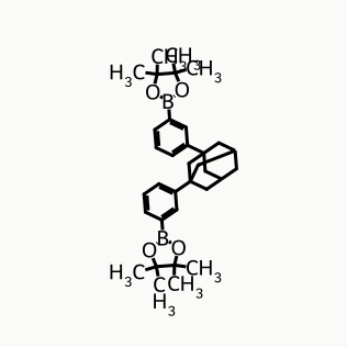 CC1(C)OB(c2cccc(C34CC5CC(C3)CC(c3cccc(B6OC(C)(C)C(C)(C)O6)c3)(C5)C4)c2)OC1(C)C